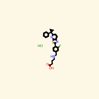 Cl.O=C(O)CCCNCc1ccc(-c2nc3ccc(C4(c5ccccc5)C=C4)nc3s2)c(F)c1